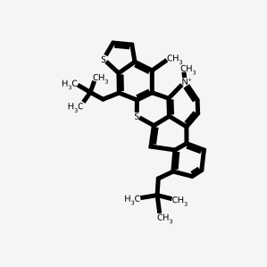 Cc1c2c(c(CC(C)(C)C)c3sccc13)Sc1cc3c(CC(C)(C)C)cccc3c3cc[n+](C)c-2c13